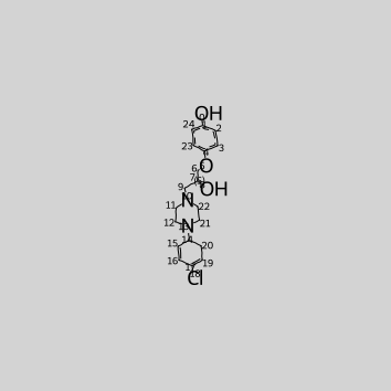 Oc1ccc(OC[C@@H](O)CN2CCN(C3C=CC(Cl)=CC3)CC2)cc1